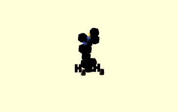 CC1(C)c2ccccc2-c2c(-c3ccc(-c4ccc(-c5cc(-c6cccc7c6sc6ccccc67)nc(-c6ccccc6)n5)c5ccccc45)cc3)cccc21